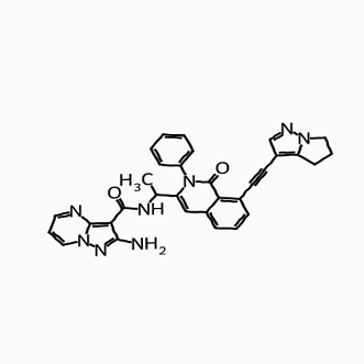 CC(NC(=O)c1c(N)nn2cccnc12)c1cc2cccc(C#Cc3cnn4c3CCC4)c2c(=O)n1-c1ccccc1